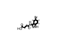 O=C(O)C=CC(=O)Nc1n[nH]c2ccc(Br)cc12